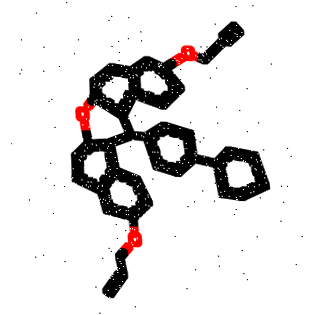 C#CCOc1ccc2c3c(ccc2c1)Oc1ccc2cc(OCC=C)ccc2c1C3c1ccc(-c2ccccc2)cc1